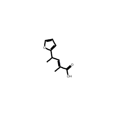 C/C(=C\C(C)c1ccco1)C(=O)O